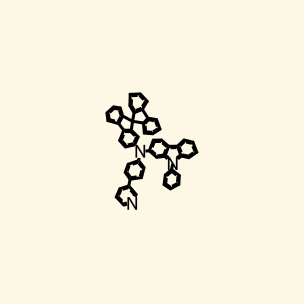 c1ccc(-n2c3ccccc3c3ccc(N(c4ccc(-c5cccnc5)cc4)c4ccc5c(c4)C4(c6ccccc6-c6ccccc64)c4ccccc4-5)cc32)cc1